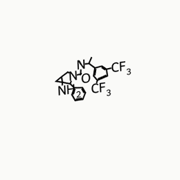 CC(c1cc(C(F)(F)F)cc(C(F)(F)F)c1)N(C)C(=O)N1CC2CC2(N)C1c1ccccc1